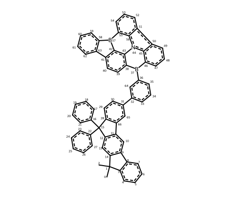 CC1(C)c2ccccc2-c2cc3c(cc21)C(c1ccccc1)(c1ccccc1)c1ccc(-c2cccc(B4c5ccc6c7c5-n5c8c4cccc8c4cccc(c45)B7c4ccccc4-6)c2)cc1-3